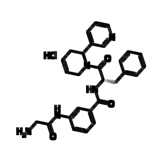 Cl.NCC(=O)Nc1cccc(C(=O)N[C@@H](Cc2ccccc2)C(=O)N2CC=CCC2c2cccnc2)c1